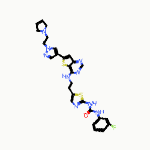 O=C(Nc1cccc(F)c1)Nc1ncc(CCNc2ncnc3cc(-c4cnn(CCN5CCCC5)c4)sc23)s1